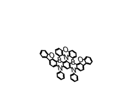 c1ccc(N2c3cc4c5c6c3B(c3cccc7c3N6c3c(cccc3B5c3c(ccc5c3oc3ccccc35)N4c3ccccc3)O7)c3c2ccc2c3oc3ccccc32)cc1